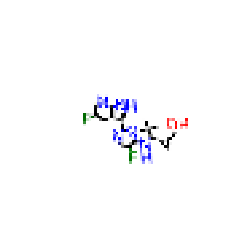 CC(C)(C)C(Nc1nc(-c2c[nH]c3ncc(F)cc23)ncc1F)C1CC1CO